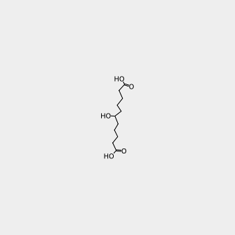 O=C(O)CCCCC(O)CCCCC(=O)O